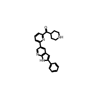 O=C(c1cccc(-c2cnc3[nH]c(-c4ccccc4)cc3c2)n1)C1CCNCC1